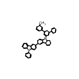 CC1C=C(C2C=C(N3C4=CCC(c5ccc6c(c5)c5ccccc5n6-c5ccccc5)C=C4C4C=CCCC43)C=C(c3ccccc3)C2)C=CC1